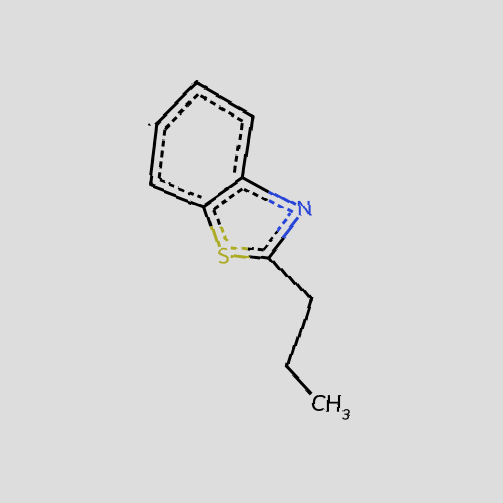 CCCc1nc2cc[c]cc2s1